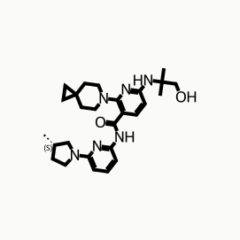 C[C@H]1CCN(c2cccc(NC(=O)c3ccc(NC(C)(C)CO)nc3N3CCC4(CC3)CC4)n2)C1